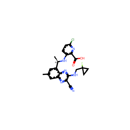 Cc1cc([C@@H](C)Nc2ccc(Cl)nc2C(=O)O)c2nc(NCC3(F)CC3)c(C#N)nc2c1